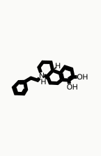 Oc1ccc2c(c1O)CC[C@H]1[C@H]2CCCN1CCc1ccccc1